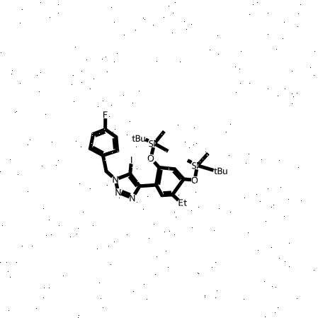 CCc1cc(-c2nnn(Cc3ccc(F)cc3)c2I)c(O[Si](C)(C)C(C)(C)C)cc1O[Si](C)(C)C(C)(C)C